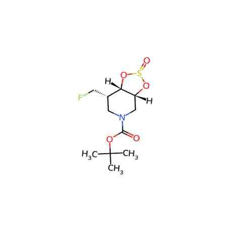 CC(C)(C)OC(=O)N1C[C@H](CF)[C@@H]2OS(=O)O[C@@H]2C1